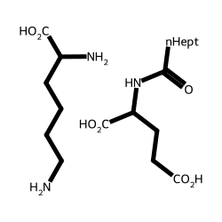 CCCCCCCC(=O)NC(CCC(=O)O)C(=O)O.NCCCCC(N)C(=O)O